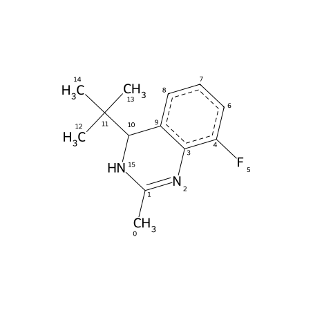 CC1=Nc2c(F)cccc2C(C(C)(C)C)N1